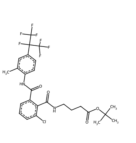 Cc1cc(C(F)(C(F)(F)F)C(F)(F)F)ccc1NC(=O)c1cccc(Cl)c1C(=O)NCCCC(=O)OC(C)(C)C